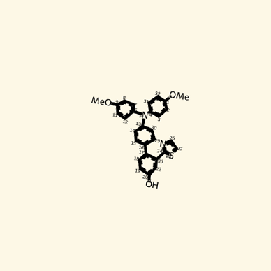 COc1ccc(N(c2ccc(OC)cc2)c2ccc(-c3ccc(O)cc3-c3nccs3)cc2)cc1